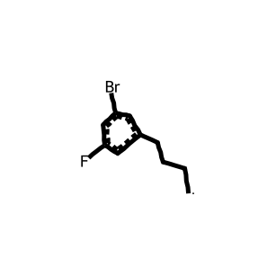 [CH2]CCCc1cc(F)cc(Br)c1